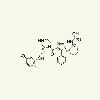 COc1ccc(C)c(NCC[C@@H]2CNCCN2C(=O)c2ncn([C@H]3CCCC[C@@H]3NC(=O)O)c2-c2ccccc2)c1